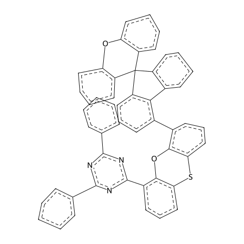 c1ccc(-c2nc(-c3ccccc3)nc(-c3cccc4c3Oc3c(cccc3-c3cccc5c3-c3ccccc3C53c5ccccc5Oc5ccccc53)S4)n2)cc1